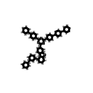 c1ccc(-c2ccc(-c3ccc(-c4nc(-c5ccc(-c6ccccc6)cc5)nc(-c5ccc6c(c5)oc5cccc(-c7cccc(-c8ccccc8)c7)c56)n4)cc3)cc2)cc1